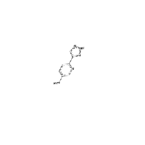 CNc1ccc(-c2cn[nH]n2)nc1